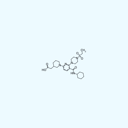 CCS(=O)(=O)N1CCN(c2nc(N3CCCC(CC(=O)O)C3)ccc2C(=O)NC2CCCCC2)CC1